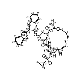 N[C@H]1CCCCC/C=C\[C@@H]2C[C@@]2(C(=O)NS(=O)(=O)C2CC2)NC(=O)[C@@H]2C[C@@H](Oc3nc4ccccc4nc3-c3nc4ccccc4s3)CN2C1=O